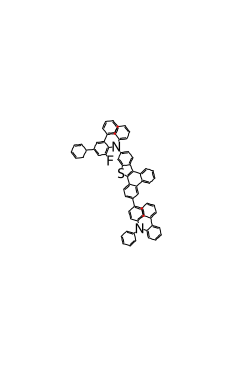 Fc1cc(C2C=CC=CC2)cc(-c2ccccc2)c1N(c1ccccc1)c1ccc2c(c1)sc1c3ccc(-c4ccc(N(c5ccccc5)c5ccccc5-c5ccccc5)cc4)cc3c3ccccc3c21